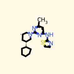 Cc1cc(Nc2nccs2)nc(N2C[CH]C[C@@H](C3CCCCC3)C2)n1